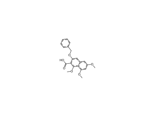 COc1cc(OC)c2c(OC)c(C(=O)O)c(OCc3ccccc3)cc2c1